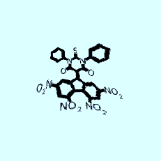 O=C1C(=C2c3cc([N+](=O)[O-])cc([N+](=O)[O-])c3-c3c2cc([N+](=O)[O-])cc3[N+](=O)[O-])C(=O)N(c2ccccc2)C(=S)N1c1ccccc1